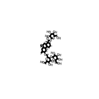 C=C1C[C@@]2(CC)CCC3[C@@](C)(CCC[C@@]3(C)C(=O)OC3OC(CO)C(O)C(O)C3O)C2CC1OCC1OC(CO)C(O)C(O)C1OC1OC(CO)C(O)C(O)C1O